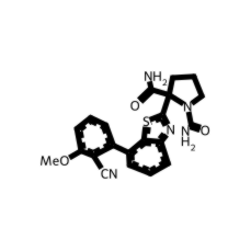 COc1cccc(-c2cccc3nc(C4(C(N)=O)CCCN4C(N)=O)sc23)c1C#N